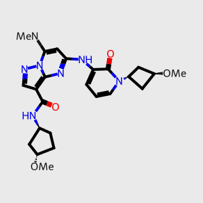 CNc1cc(Nc2cccn([C@H]3C[C@H](OC)C3)c2=O)nc2c(C(=O)N[C@H]3CC[C@H](OC)C3)cnn12